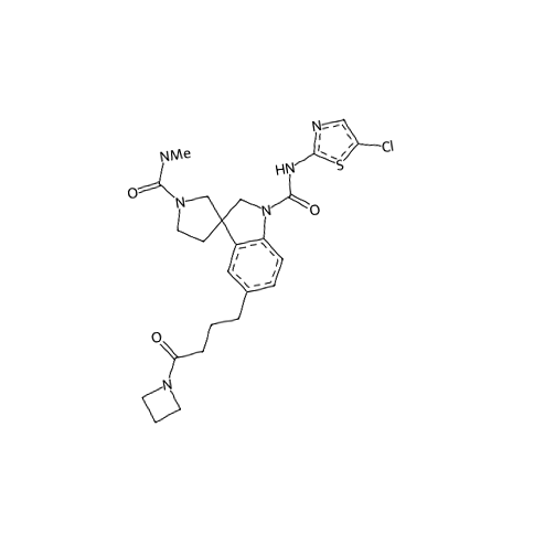 CNC(=O)N1CCC2(C1)CN(C(=O)Nc1ncc(Cl)s1)c1ccc(CCCC(=O)N3CCC3)cc12